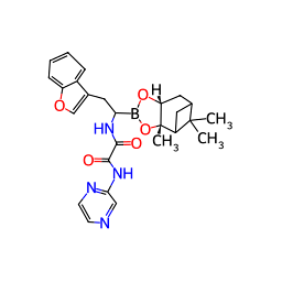 CC1(C)C2CC1[C@]1(C)OB(C(Cc3coc4ccccc34)NC(=O)C(=O)Nc3cnccn3)O[C@@H]1C2